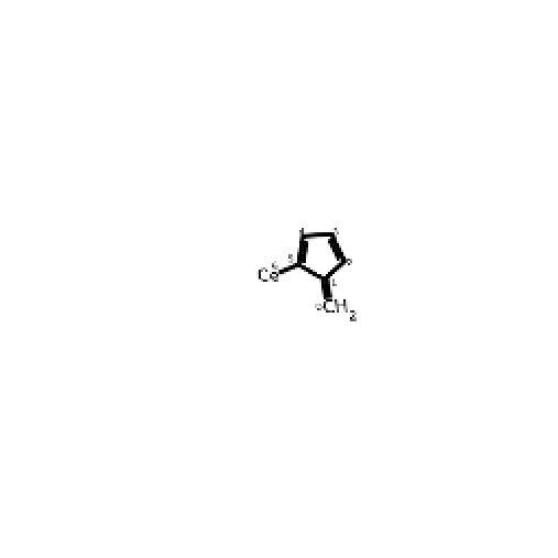 C=C1C=CC=[C]1[Ce]